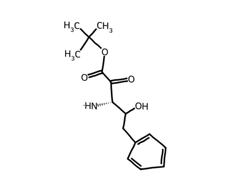 CC(C)(C)OC(=O)C(=O)[C@@H]([NH])C(O)Cc1ccccc1